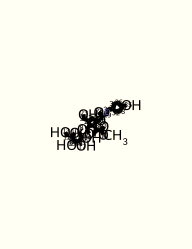 COC(=O)C1=COC(O[C@@H]2O[C@H](CO)[C@@H](O)[C@H](O)[C@H]2O)C2C(CO)=CC(OC(=O)/C=C/c3ccc(O)cc3)C12